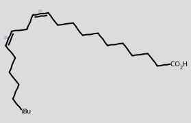 CCC(C)CCCC/C=C\C/C=C\CCCCCCCCCC(=O)O